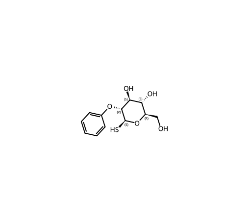 OC[C@H]1O[C@@H](S)[C@H](Oc2ccccc2)[C@@H](O)[C@@H]1O